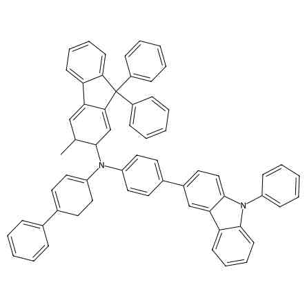 CC1C=C2C(=CC1N(C1=CC=C(c3ccccc3)CC1)c1ccc(-c3ccc4c(c3)c3ccccc3n4-c3ccccc3)cc1)C(c1ccccc1)(c1ccccc1)c1ccccc12